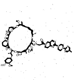 CO[C@H]1C[C@@H]2CC[C@@H](C)[C@@](O)(O2)C(=O)C(=O)N2CCCC[C@H]2C(=O)O[C@H]([C@H](C)C[C@@H]2CC[C@@H](O)[C@H](OC)C2)C[C@@H](O)[C@H](C)/C=C(\C)[C@@H](O)[C@@H](OC)/C(=N/OCC(=O)N2CCc3nc(N4CCN(c5ncc(C)cn5)CC4)ncc3C2)[C@H](C)C[C@H](C)/C=C/C=C/C=C/1C